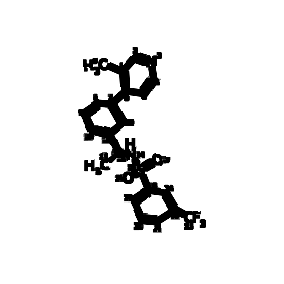 Cc1cnccc1-c1cccc([C@H](C)NS(=O)(=O)c2cccc(C(F)(F)F)c2)c1